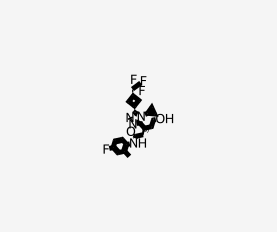 Cc1cc(F)ccc1NC(=O)C[C@H](CCO)c1nnc([C@H]2C[C@@H](CC(F)(F)F)C2)n1C1CC1